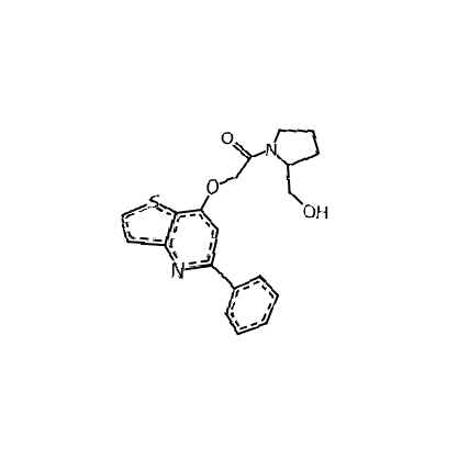 O=C(COc1cc(-c2ccccc2)nc2ccsc12)N1CCCC1CO